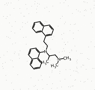 CC(CN(C)C)N(CCc1cccc2ccccc12)c1cccc2ccccc12